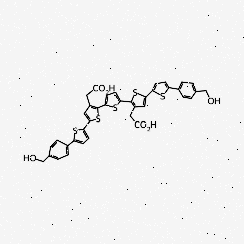 O=C(O)Cc1cc(-c2ccc(-c3ccc(CO)cc3)s2)sc1-c1ccc(-c2sc(-c3ccc(-c4ccc(CO)cc4)s3)cc2CC(=O)O)s1